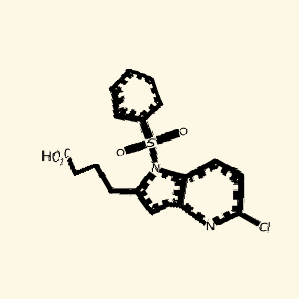 O=C(O)CCCc1cc2nc(Cl)ccc2n1S(=O)(=O)c1ccccc1